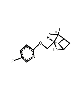 C[C@@H]1C2CC(C2)N[C@@H]1COc1ccc(F)cn1